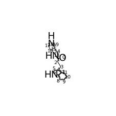 O=C(CCc1c[nH]c2ccccc12)NCC1CCNC1